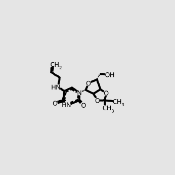 C=CCNc1cn([C@@H]2O[C@H](CO)C3OC(C)(C)OC32)c(=O)[nH]c1=O